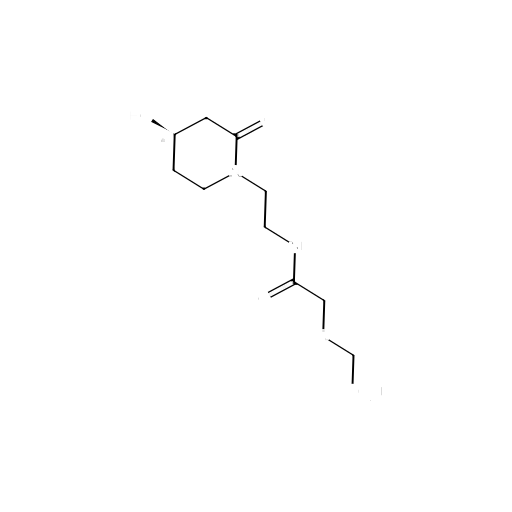 O=C(O)CSCC(=O)NCCN1CC[C@@H](O)CC1=O